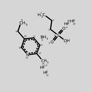 B.CCCS(=O)(=O)O.CCc1ccc(C)nc1.F.F.F.F